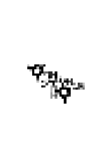 Cc1cc(C)c(NC(=O)C(=O)Nc2cc(C)cc(C(C)(C)C)c2O)c(C)c1